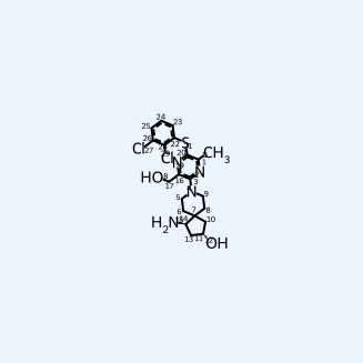 Cc1nc(N2CCC3(CC2)C[C@H](O)C[C@H]3N)c(CO)nc1Sc1cccc(Cl)c1Cl